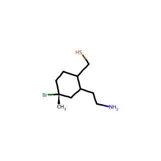 C[C@@]1(Br)CCC(CS)C(CCN)C1